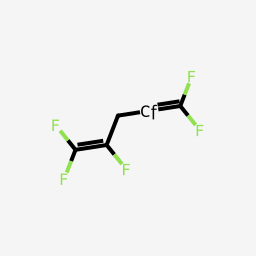 F[C](F)=[Cf][CH2]C(F)=C(F)F